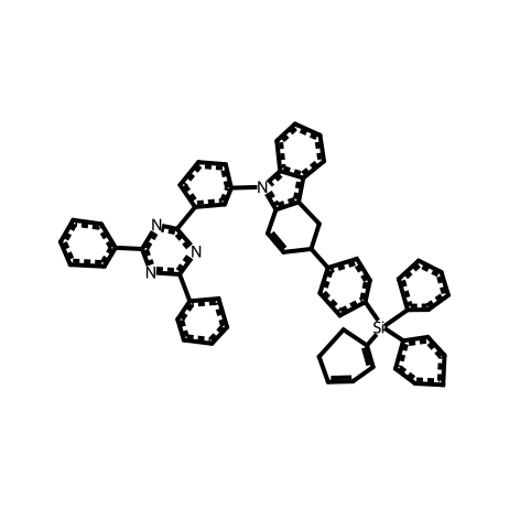 C1=CCCC([Si](c2ccccc2)(c2ccccc2)c2ccc(C3C=Cc4c(c5ccccc5n4-c4cccc(-c5nc(-c6ccccc6)nc(-c6ccccc6)n5)c4)C3)cc2)=C1